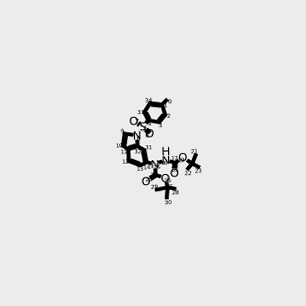 Cc1ccc(S(=O)(=O)n2ccc3ccc(N(NC(=O)OC(C)(C)C)C(=O)OC(C)(C)C)cc32)cc1